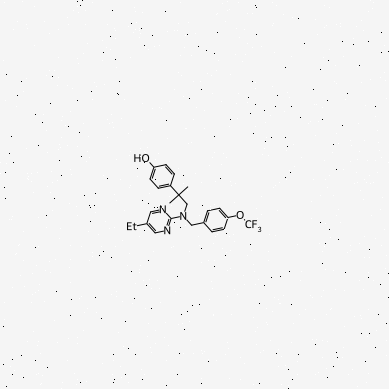 CCc1cnc(N(Cc2ccc(OC(F)(F)F)cc2)CC(C)(C)c2ccc(O)cc2)nc1